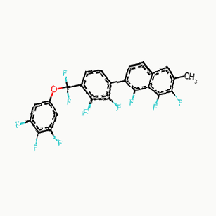 Cc1cc2ccc(-c3ccc(C(F)(F)Oc4cc(F)c(F)c(F)c4)c(F)c3F)c(F)c2c(F)c1F